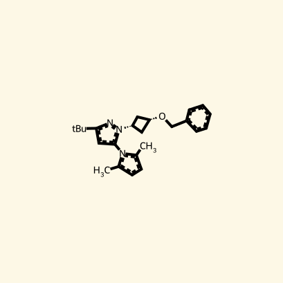 Cc1ccc(C)n1-c1cc(C(C)(C)C)nn1[C@H]1C[C@@H](OCc2ccccc2)C1